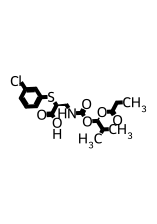 CCC(=O)O[C@@H](OC(=O)NC[C@H](Sc1cccc(Cl)c1)C(=O)O)C(C)C